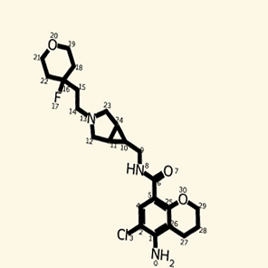 Nc1c(Cl)cc(C(=O)NCC2C3CN(CCC4(F)CCOCC4)CC23)c2c1CCCO2